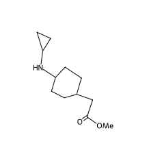 COC(=O)CC1CCC(NC2CC2)CC1